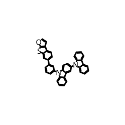 c1cc(-c2ccc3c(c2)sc2occc23)cc(-n2c3ccccc3c3cc(-n4c5ccccc5c5ccccc54)ccc32)c1